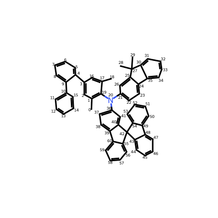 Cc1cc(-c2ccccc2-c2ccccc2)cc(C)c1N(c1ccc2c(c1)C(C)(C)c1ccccc1-2)c1ccc2c(c1)C1(c3ccccc3-c3ccccc31)c1ccccc1-2